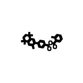 Cc1ccccc1C(=O)OC(=O)c1ccc(-c2cc3c(cc2C)C(C)(C)CCC3(C)C)cc1